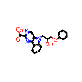 O=C(O)c1ncc2c(n1)c1ccccc1n2CC(O)COc1ccccc1